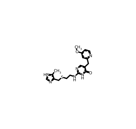 COc1ccnc(Cc2cnc(NCCSCc3nc[nH]c3C)[nH]c2=O)c1